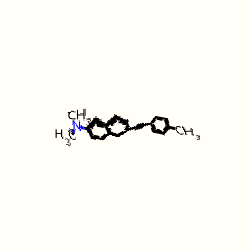 Cc1ccc(C#Cc2ccc3cc(N(C)C)ccc3c2)cc1